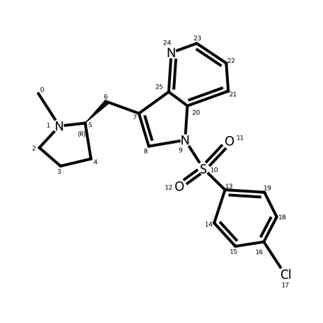 CN1CCC[C@@H]1Cc1cn(S(=O)(=O)c2ccc(Cl)cc2)c2cccnc12